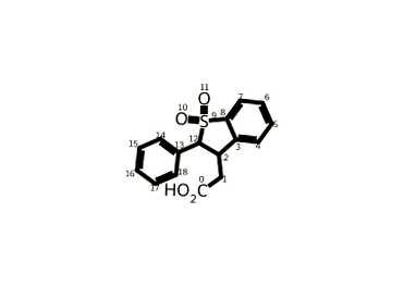 O=C(O)CC1c2ccccc2S(=O)(=O)C1c1ccccc1